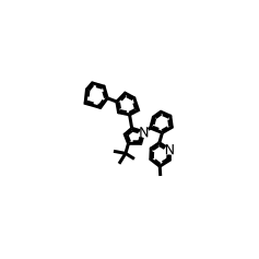 Cc1ccc(-c2ccccc2-n2cc(C(C)(C)C)cc2-c2cccc(-c3ccccc3)c2)nc1